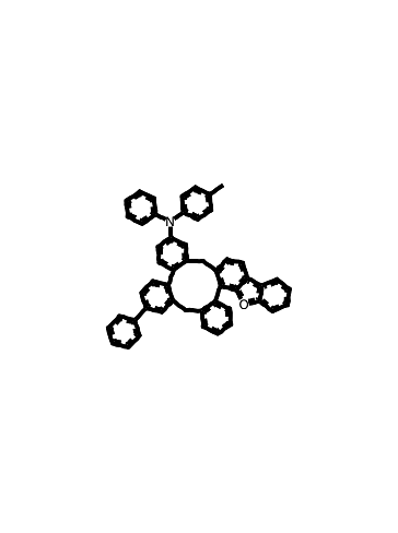 Cc1ccc(N(c2ccccc2)c2ccc3c(c2)Cc2ccc4c(oc5ccccc54)c2-c2ccccc2Cc2cc(-c4ccccc4)ccc2-3)cc1